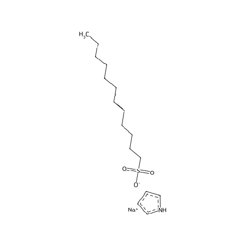 CCCCCCCCCCCCS(=O)(=O)[O-].[Na+].c1cc[nH]c1